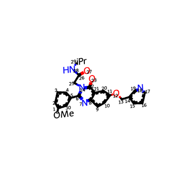 COc1cccc(-c2nc3ccc(OCc4cccnc4)cc3c(=O)n2CC(=O)NC(C)C)c1